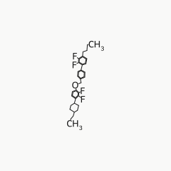 CCCCc1ccc(-c2ccc(COc3ccc(C4CCC(CCC)CC4)c(F)c3F)cc2)c(F)c1F